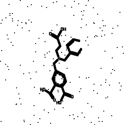 C/C=C\C(=C/C)CN(CCC(=O)O)Cc1ccc(C(=O)O)c(C(=O)O)c1